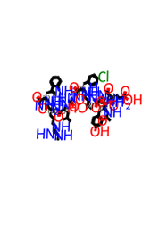 CNC(=N)NCCC[C@H](NC(=O)[C@H](CC(C)C)NC(=O)NNC(=O)[C@H](Cc1ccc(Cl)cc1)NC(=O)C(NC(=O)[C@H](CC(N)=O)NC(=O)[C@H](CCC(=O)O)NC(=O)[C@@H](Cc1ccc(O)cc1)NC(C)=O)[C@@H](C)O)C(=O)N[C@@H](Cc1c[nH]c2ccccc12)C(N)=O